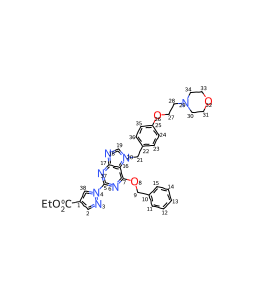 CCOC(=O)c1cnn(-c2nc(OCc3ccccc3)c3c(ncn3Cc3ccc(OCCN4CCOCC4)cc3)n2)c1